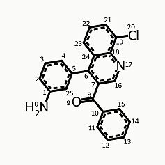 Nc1cccc(-c2c(C(=O)c3ccccc3)cnc3c(Cl)cccc23)c1